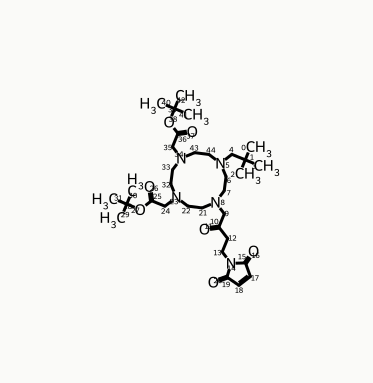 CC(C)(C)CN1CCN(CC(=O)CCN2C(=O)C=CC2=O)CCN(CC(=O)OC(C)(C)C)CCN(CC(=O)OC(C)(C)C)CC1